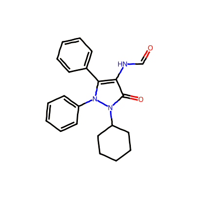 O=CNc1c(-c2ccccc2)n(-c2ccccc2)n(C2CCCCC2)c1=O